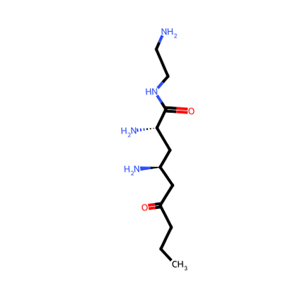 CCCC(=O)C[C@@H](N)C[C@H](N)C(=O)NCCN